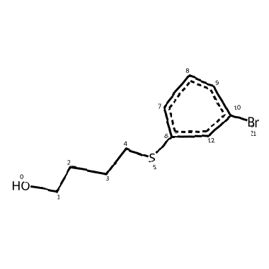 OCCCCSc1cccc(Br)c1